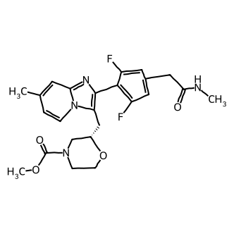 CNC(=O)Cc1cc(F)c(-c2nc3cc(C)ccn3c2C[C@H]2CN(C(=O)OC)CCO2)c(F)c1